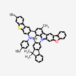 Cc1cc(-c2cc3c(cc2Nc2ccc(C(C)(C)C)cc2)sc2cc(C(C)(C)C)ccc23)c2c3c1c1cc4c(cc1n3-c1cc3c(cc1B2)C(C)(C)c1ccccc1-3)oc1ccccc14